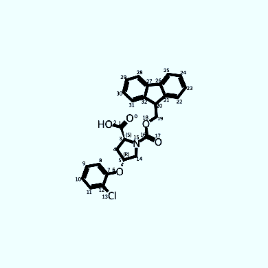 O=C(O)[C@@H]1C[C@@H](Oc2ccccc2Cl)CN1C(=O)OCC1c2ccccc2-c2ccccc21